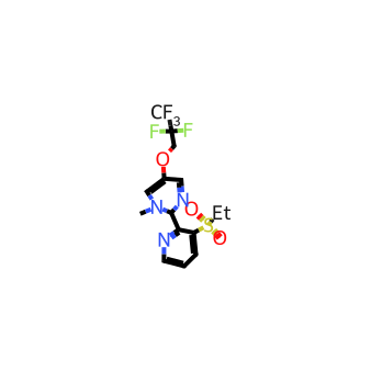 CCS(=O)(=O)c1cccnc1C1N=CC(OCC(F)(F)C(F)(F)F)=CN1C